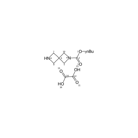 CCCCOC(=O)N1CC2(CNC2)C1.O=C(O)C(=O)O